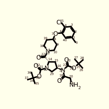 Cc1ccc(Cl)c(OC2CCN(C(=O)[C@@H]3C[C@@H](N(C(=O)CN)C(=O)OC(C)(C)C)CN3C(=O)OC(C)(C)C)CC2)c1